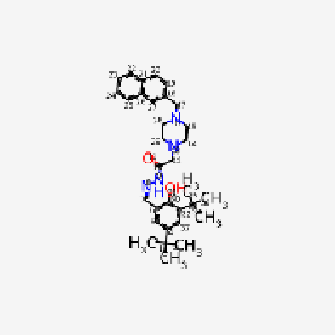 CC(C)(C)c1cc(/C=N\NC(=O)CN2CCN(Cc3ccc4ccccc4c3)CC2)c(O)c(C(C)(C)C)c1